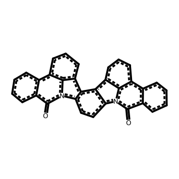 O=c1c2ccccc2c2cccc3c4c5c6cccc7c8ccccc8c(=O)n(c5ccc4n1c23)c76